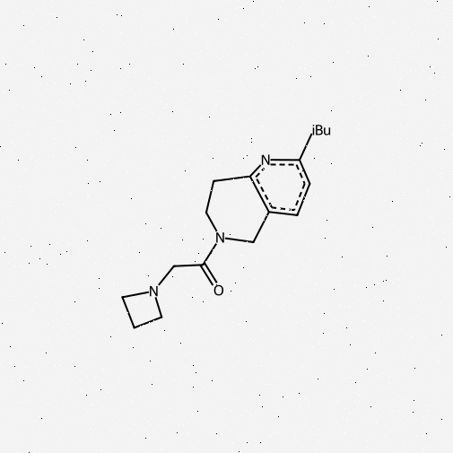 CCC(C)c1ccc2c(n1)CCN(C(=O)CN1CCC1)C2